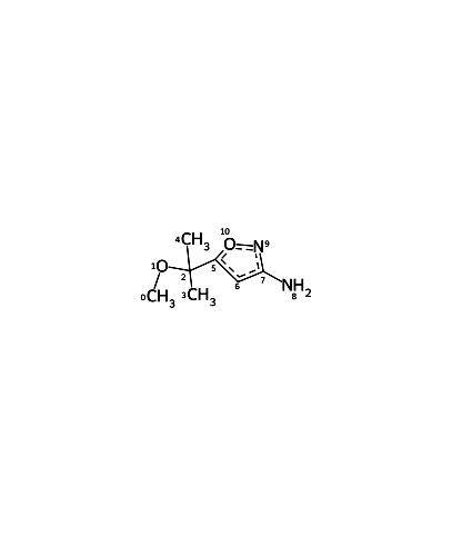 COC(C)(C)c1cc(N)no1